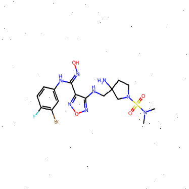 CN(C)S(=O)(=O)N1CCC(N)(CNc2nonc2/C(=N/O)Nc2ccc(F)c(Br)c2)C1